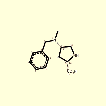 CN(Cc1ccccc1)[C@@H]1CN[C@H](C(=O)O)C1